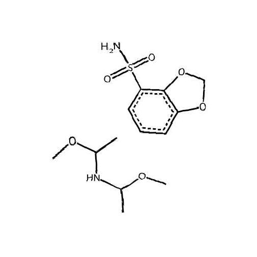 COC(C)NC(C)OC.NS(=O)(=O)c1cccc2c1OCO2